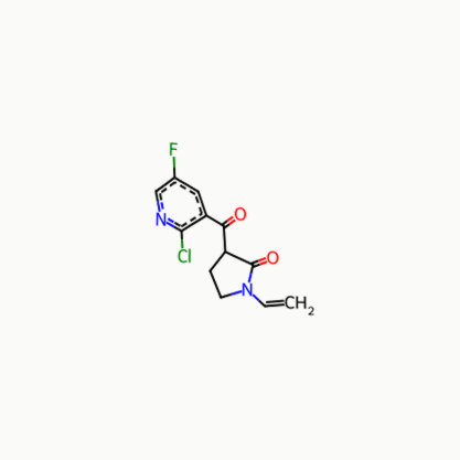 C=CN1CCC(C(=O)c2cc(F)cnc2Cl)C1=O